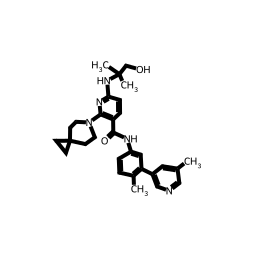 Cc1cncc(-c2cc(NC(=O)c3ccc(NC(C)(C)CO)nc3N3CCC4(CC3)CC4)ccc2C)c1